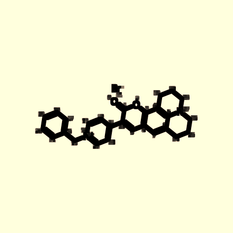 O=c1oc2c3c4c(cc2cc1-c1cc[n+](Cc2ccccc2)cc1)CCCN4CCC3.[Br-]